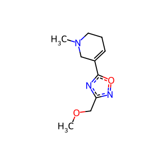 COCc1noc(C2=CCCN(C)C2)n1